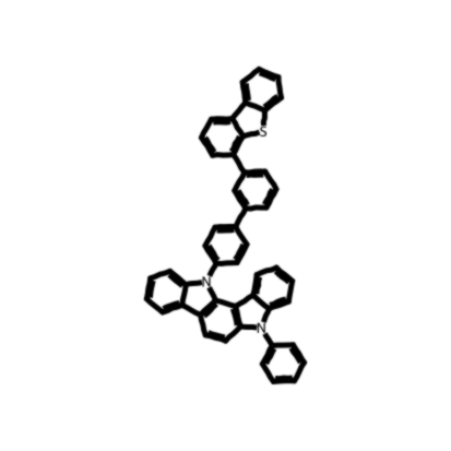 c1ccc(-n2c3ccccc3c3c2ccc2c4ccccc4n(-c4ccc(-c5cccc(-c6cccc7c6sc6ccccc67)c5)cc4)c23)cc1